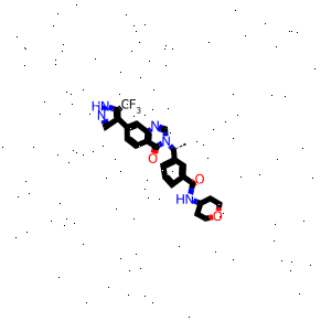 C[C@H](c1cccc(C(=O)NC2CCOCC2)c1)n1cnc2cc(-c3cn[nH]c3C(F)(F)F)ccc2c1=O